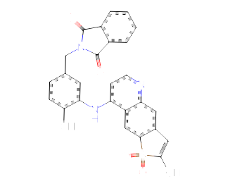 CC1=Cc2cc3nccc(Nc4cc(CN5C(=O)c6ccccc6C5=O)ccc4C)c3cc2S1(=O)=O